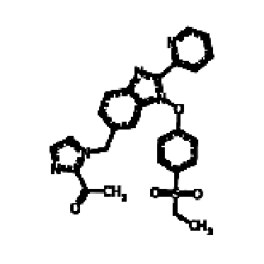 CCS(=O)(=O)c1ccc(On2c(-c3ccccn3)nc3ccc(Cn4ccnc4C(C)=O)cc32)cc1